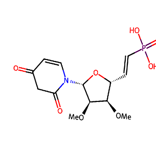 CO[C@@H]1[C@H](OC)[C@@H](/C=C/P(=O)(O)O)O[C@H]1N1C=CC(=O)CC1=O